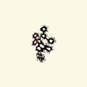 CC1(C)OB(c2ccc3c4ccc(N(c5cc(-c6ccccc6)cc(-c6ccccc6)c5)c5ccccc5-c5ccccc5)cc4c4ccccc4c3c2)OC1(C)C